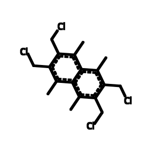 Cc1c(CCl)c(CCl)c(C)c2c(C)c(CCl)c(CCl)c(C)c12